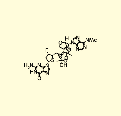 CNc1ncnc2c1ncn2[C@@H]1O[C@@]2(COP(C)(=O)O)CO[C@@H]1[C@@]2(C)OP(C)(=O)COC[C@H]1S[C@@H](n2cnc3c(=O)[nH]c(N)nc32)C[C@H]1F